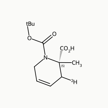 [2H]C1C=CCN(C(=O)OC(C)(C)C)[C@]1(C)C(=O)O